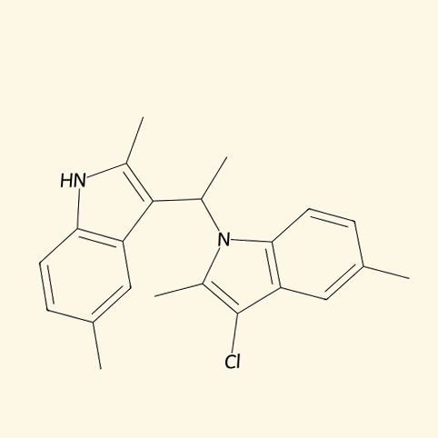 Cc1ccc2[nH]c(C)c(C(C)n3c(C)c(Cl)c4cc(C)ccc43)c2c1